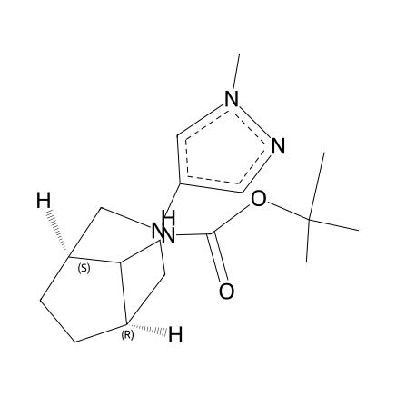 Cn1cc(N2C[C@H]3CC[C@@H](C2)C3NC(=O)OC(C)(C)C)cn1